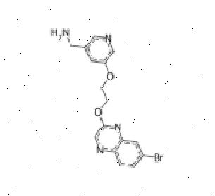 NCc1cncc(OCCOc2cnc3ccc(Br)cc3n2)c1